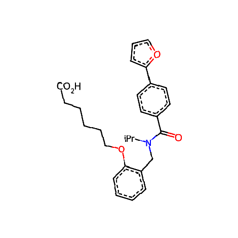 CC(C)N(Cc1ccccc1OCCCCCC(=O)O)C(=O)c1ccc(-c2ccco2)cc1